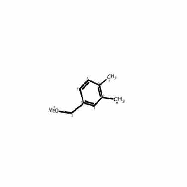 COCc1ccc(C)c(C)c1